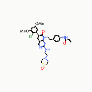 C=CC(=O)Nc1ccc(CCn2c(=O)c(-c3cc(OC)cc(OC)c3Cl)cc3cnc(NCCN4CC[S+]([O-])CC4)nc32)cc1